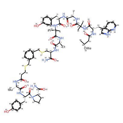 CC[C@H](NC(=O)[C@@](C)(NC(=O)[C@H](Cc1ccc(O)cc1)NC(=O)[C@H](C)NC(=O)C(C)(C)NC(=O)[C@H](Cc1c[nH]c2ncccc12)NC(=O)C[C@@H](C)OC)C(C)C)C(=O)N[C@H](CSCc1cccc(CSCCC(=O)N[C@H](C(=O)N[C@@H](Cc2ccc(O)cc2)C(=O)N2CCC[C@H]2C(N)=O)C(C)(C)C)c1)C(N)=O